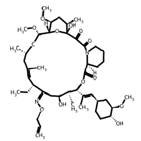 C=CCO/N=C1\C[C@H](O)[C@@H](C)[C@@H](/C(C)=C/[C@@H]2CC[C@@H](O)[C@H](OC)C2)OC(=O)[C@@H]2CCCCN2C(=O)C(=O)[C@]2(O)O[C@H]([C@@H](OC)C[C@@H](C)C/C(C)=C/[C@H]1CC)[C@@H](OC)C[C@H]2C